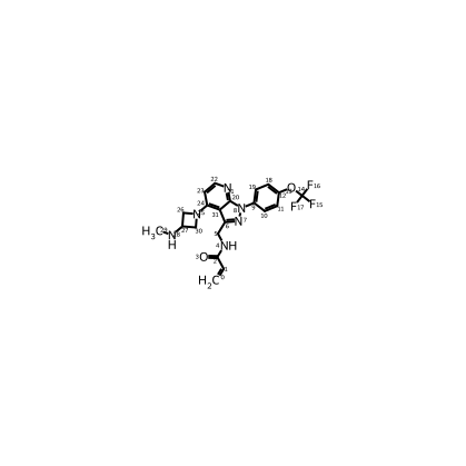 C=CC(=O)NCc1nn(-c2ccc(OC(F)(F)F)cc2)c2nccc(N3CC(NC)C3)c12